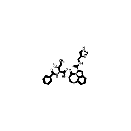 CC[C@H](C)[C@H](NC(=O)c1ccccc1)C(=O)N[C@H]1COc2cccc3c2N(C1=O)[C@@H](C(=O)NCc1c[nH]nn1)C3